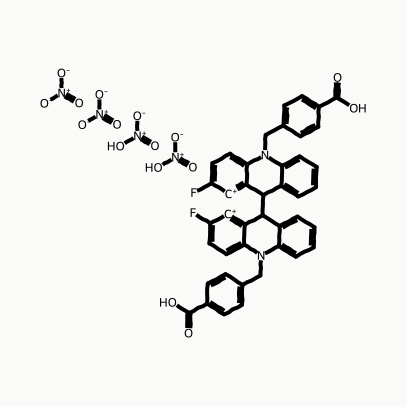 O=C(O)c1ccc(CN2C3=CC=C(F)[C+]=C3C(C3C4=[C+]C(F)=CC=C4N(Cc4ccc(C(=O)O)cc4)c4ccccc43)c3ccccc32)cc1.O=[N+]([O-])O.O=[N+]([O-])O.O=[N+]([O-])[O-].O=[N+]([O-])[O-]